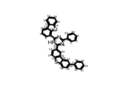 c1ccc(C2=NC(c3cccc4c3oc3ccccc34)NC(c3ccc4sc5ccc(-c6ccccc6)cc5c4c3)=N2)cc1